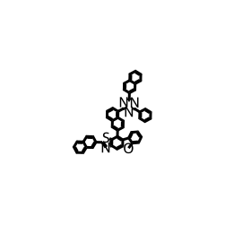 c1ccc(-c2nc(-c3ccc4ccccc4c3)nc(-c3cccc4cc(-c5c6sc(-c7ccc8ccccc8c7)nc6cc6oc7ccccc7c56)ccc34)n2)cc1